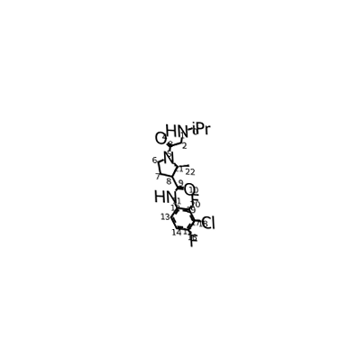 CC(C)NCC(=O)N1CCC(C(=O)Nc2ccc(F)c(Cl)c2F)[C@@H]1C